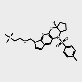 Cc1ccc(S(=O)(=O)N2c3cc4ccn(COCC[Si](C)(C)C)c4nc3O[C@@H]3CCCC32)cc1